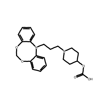 O=C(O)OC1CCN(CCCN2c3ccccc3OCOc3ccccc32)CC1